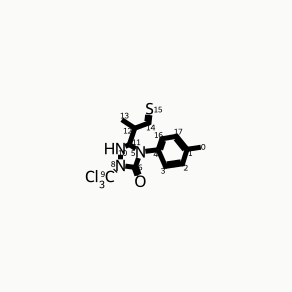 Cc1ccc(N2C(=O)N(C(Cl)(Cl)Cl)NC2C(C)C=S)cc1